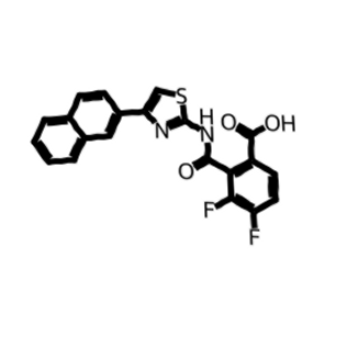 O=C(O)c1ccc(F)c(F)c1C(=O)Nc1nc(-c2ccc3ccccc3c2)cs1